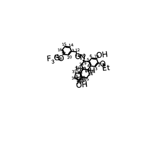 CCOc1cc2c(cc1O)C(=NOCc1cccc(OC(F)(F)F)c1)C[C@@H]1[C@@H]2CC[C@]2(C)[C@H](O)CC[C@@H]12